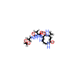 CC(C)[C@H](NC(=O)NCC1COC(C)(C)OC1)C(=O)N[C@H]1/C=C/CCNC(=O)/C=C/[C@H](C(C)C)NC1=O